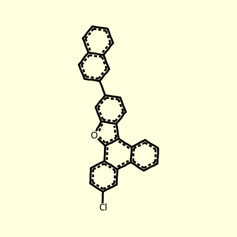 Clc1ccc2c(c1)c1ccccc1c1c3ccc(-c4ccc5ccccc5c4)cc3oc21